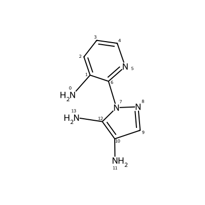 Nc1cccnc1-n1ncc(N)c1N